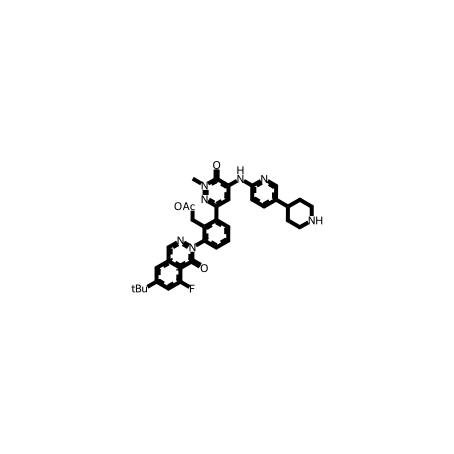 CC(=O)OCc1c(-c2cc(Nc3ccc(C4CCNCC4)cn3)c(=O)n(C)n2)cccc1-n1ncc2cc(C(C)(C)C)cc(F)c2c1=O